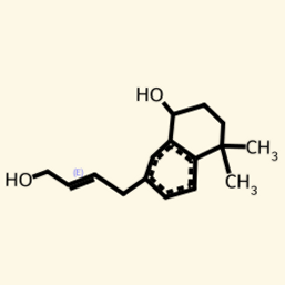 CC1(C)CCC(O)c2cc(C/C=C/CO)ccc21